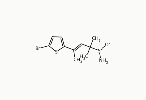 CC(=CC(C)(C)[S+](N)[O-])c1ccc(Br)s1